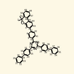 CC1(C)Oc2cc(-c3ccc(-c4nc(-c5ccc(-c6ccccc6)cc5)nc(-c5ccc(-c6ccccc6)cc5)n4)cc3)ccc2-c2ccccc21